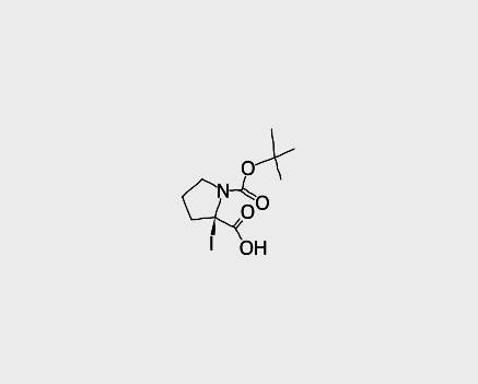 CC(C)(C)OC(=O)N1CCC[C@@]1(I)C(=O)O